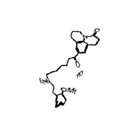 CCN(CCCCCC(=O)c1cc2c3c(c1)CCC(=O)N3CCC2)CCc1ccccc1OC.Cl